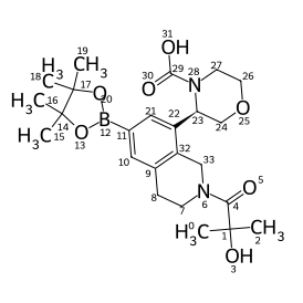 CC(C)(O)C(=O)N1CCc2cc(B3OC(C)(C)C(C)(C)O3)cc([C@@H]3COCCN3C(=O)O)c2C1